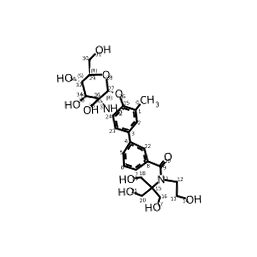 Cc1cc(-c2cccc(C(=O)N(CCO)C(CO)(CO)CO)c2)ccc1O[C@H]1O[C@H](CO)[C@@H](O)[C@H](O)[C@]1(N)O